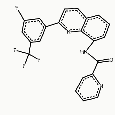 O=C(Nc1cccc2ccc(-c3cc(F)cc(C(F)(F)F)c3)nc12)c1ccccn1